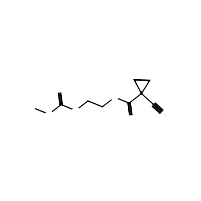 COC(=O)OCCOC(=O)C1(C#N)CC1